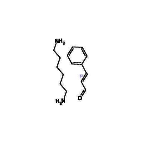 NCCCCCCN.O=C/C=C/c1ccccc1